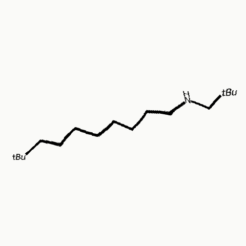 CC(C)(C)CCCCCCCCNCC(C)(C)C